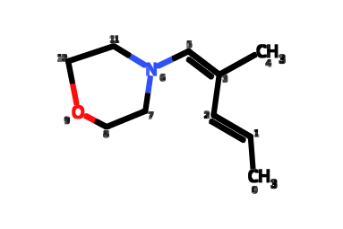 CC=CC(C)=CN1CCOCC1